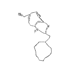 CC(C)(C)c1ccc2nc(CC3CCCCCCC3)[nH]c2c1